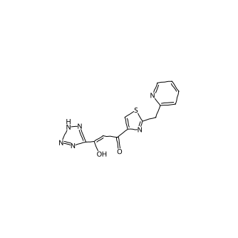 O=C(C=C(O)c1nn[nH]n1)c1csc(Cc2ccccn2)n1